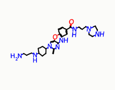 C=C1N=C2Nc3cc(C(=O)NCCCN4CCNCC4)ccc3OC2=CN1C1CCC(NCCCN)CC1